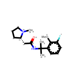 COc1c(F)cccc1C(C)(C)NC(=O)C[C@@H]1CCCN1C